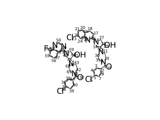 O=C(c1ccc(Cl)cc1)N1CCN(C2CN(c3ccc4ccc(Cl)cc4n3)CC2O)CC1.O=C(c1ccc(Cl)cc1)N1CCN(C2CN(c3ncnc4c(F)cccc34)CC2O)CC1